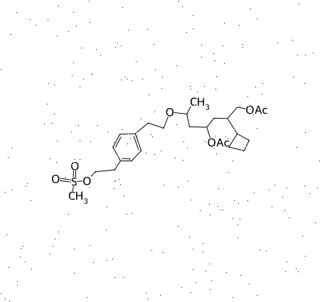 CC(=O)OCC(CC(CC(C)OCCc1ccc(CCOS(C)(=O)=O)cc1)OC(C)=O)C1CCC1